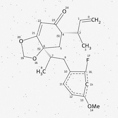 C=CC(C)[C@@H]1C[C@@]2(C(C)Cc3ccc(OC)cc3F)OCOC2=CC1=O